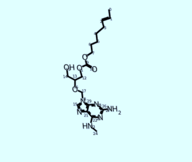 CC=CCCCCCOC(=O)OCC(CO)OCn1cnc2c(NC)nc(N)nc21